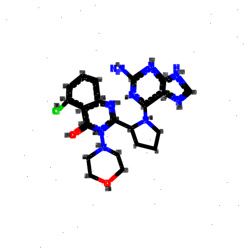 Nc1nc(N2CCCC2c2nc3cccc(Cl)c3c(=O)n2N2CCOCC2)c2nc[nH]c2n1